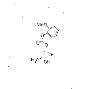 COc1ccccc1OC(=O)OC(C)CC(C)O